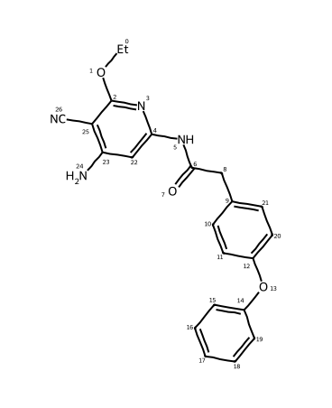 CCOc1nc(NC(=O)Cc2ccc(Oc3ccccc3)cc2)cc(N)c1C#N